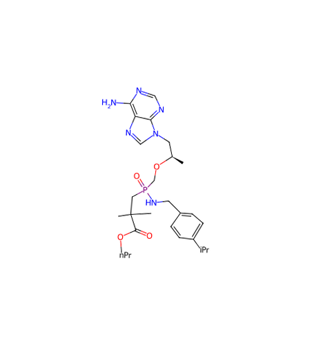 CCCOC(=O)C(C)(C)CP(=O)(CO[C@H](C)Cn1cnc2c(N)ncnc21)NCc1ccc(C(C)C)cc1